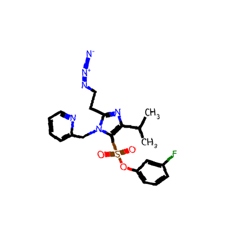 CC(C)c1nc(CCN=[N+]=[N-])n(Cc2ccccn2)c1S(=O)(=O)Oc1cccc(F)c1